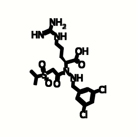 CC(C)S(=O)(=O)CC(=O)N(NCc1cc(Cl)cc(Cl)c1)[C@@H](CCCNC(=N)N)C(=O)O